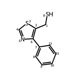 SCc1scnc1-c1ccccc1